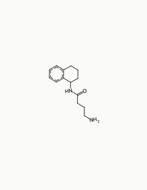 NCCCC(=O)NC1CCCc2ccccc21